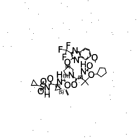 C=C[C@@H]1C[C@]1(NC(=O)[C@@H]1C[C@@H](Oc2nc3cc(OC)ccc3nc2C(F)(F)F)CN1C(=O)[C@@H](NC(=O)OC1CCCC1)C(C)(C)C)C(=O)NS(=O)(=O)C1CC1